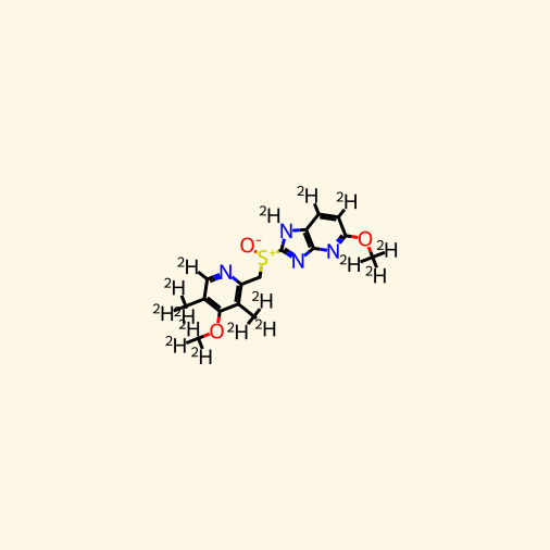 [2H]c1nc(C[S+]([O-])c2nc3nc(OC([2H])([2H])[2H])c([2H])c([2H])c3n2[2H])c(C([2H])([2H])[2H])c(OC([2H])([2H])[2H])c1C([2H])([2H])[2H]